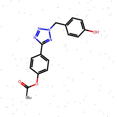 CC(C)(C)C(=O)Oc1ccc(-c2nnn(Cc3ccc(O)cc3)n2)cc1